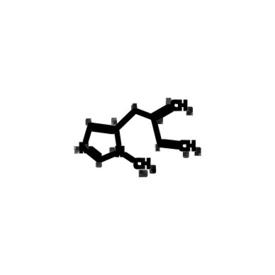 C=CC(=C)Cc1cncn1C